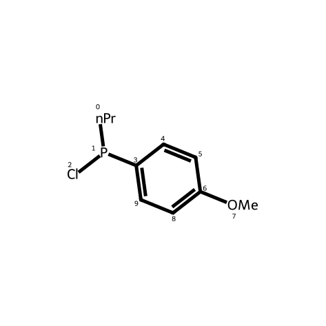 CCCP(Cl)c1ccc(OC)cc1